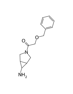 NC1C2CN(C(=O)COCc3ccccc3)CC12